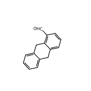 O=Cc1cccc2c1Cc1ccccc1C2